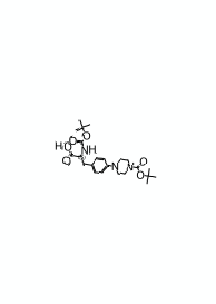 CC(C)(C)OC(=O)N[C@@H](Cc1ccc(N2CCN(C(=O)OC(C)(C)C)CC2)cc1)C(=O)O